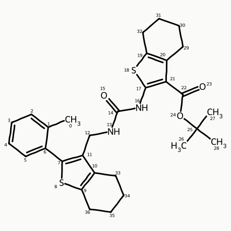 Cc1ccccc1-c1sc2c(c1CNC(=O)Nc1sc3c(c1C(=O)OC(C)(C)C)CCCC3)CCCC2